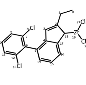 CCC1=Cc2c(-c3c(Cl)cccc3Cl)cccc2[CH]1[Zr]([Cl])[Cl]